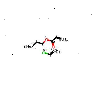 C=CC(=O)OCCCCCCCC.C=CCl